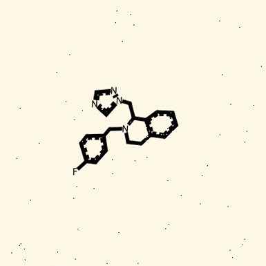 Fc1ccc(CN2CCc3ccccc3C2Cn2cncn2)cc1